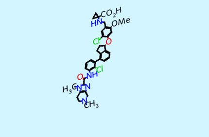 COc1cc(O[C@@H]2CCc3c(-c4cccc(NC(=O)c5nc6c(n5C)CCN(C)C6)c4Cl)cccc32)c(Cl)cc1CNC1(C(=O)O)CC1